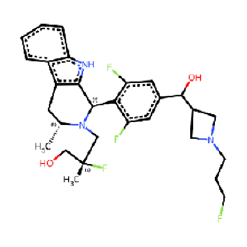 C[C@@H]1Cc2c([nH]c3ccccc23)[C@@H](c2c(F)cc(C(O)C3CN(CCCF)C3)cc2F)N1C[C@](C)(F)CO